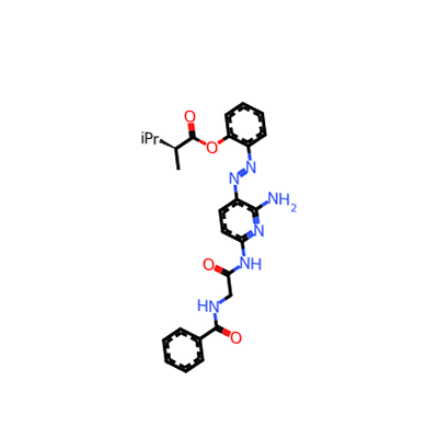 CC(C)[C@H](C)C(=O)Oc1ccccc1/N=N/c1ccc(NC(=O)CNC(=O)c2ccccc2)nc1N